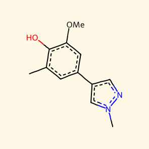 COc1cc(-c2cnn(C)c2)cc(C)c1O